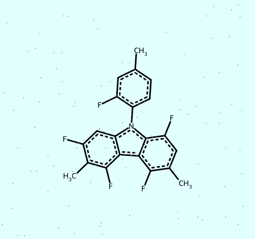 Cc1ccc(-n2c3cc(F)c(C)c(F)c3c3c(F)c(C)cc(F)c32)c(F)c1